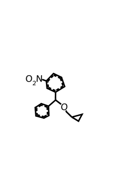 O=[N+]([O-])c1cccc(C(OCC2CC2)c2ccccc2)c1